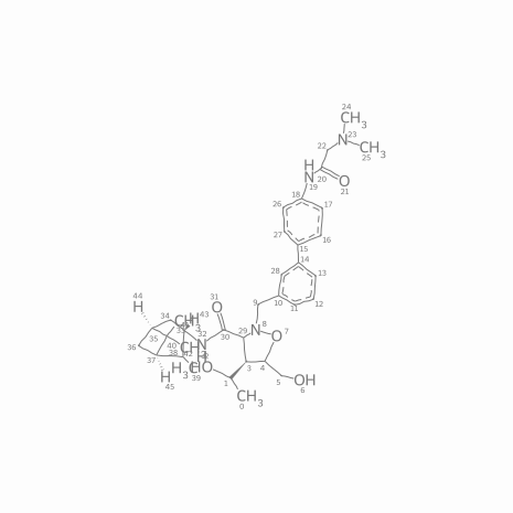 CC(O)[C@@H]1C(CO)ON(Cc2cccc(-c3ccc(NC(=O)CN(C)C)cc3)c2)C1C(=O)N[C@H]1C[C@@H]2C[C@H](C1C)C2(C)C